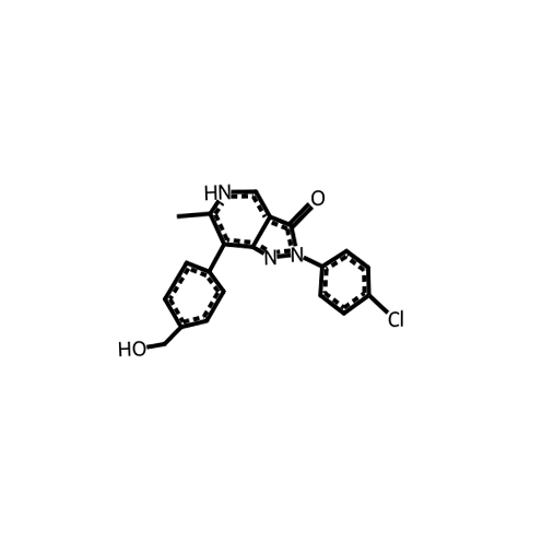 Cc1[nH]cc2c(=O)n(-c3ccc(Cl)cc3)nc-2c1-c1ccc(CO)cc1